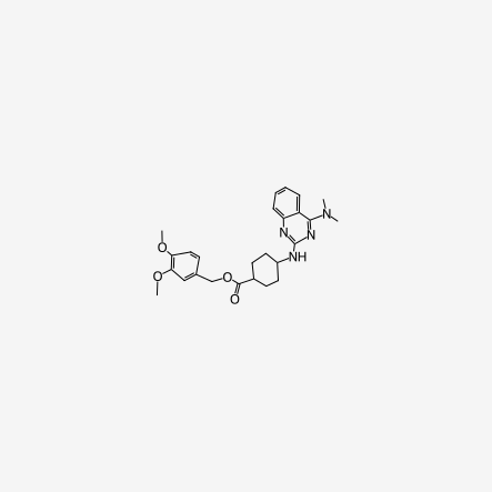 COc1ccc(COC(=O)C2CCC(Nc3nc(N(C)C)c4ccccc4n3)CC2)cc1OC